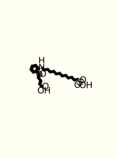 O=C(O)C=CCOc1ccccc1NC(=O)CCCCCCCCCCCS(=O)(=O)O